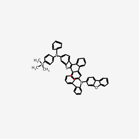 C[Si](C)(C)c1ccc(N(c2ccccc2)c2ccc3c(c2)sc2c4ccc(N(c5ccc6c(c5)oc5ccccc56)c5ccccc5-c5ccccc5)cc4c4ccccc4c32)cc1